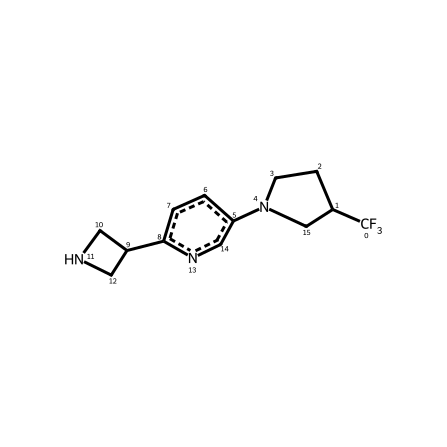 FC(F)(F)C1CCN(c2ccc(C3CNC3)nc2)C1